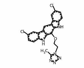 Cc1nnnn1CCOc1c2[nH]c3ccc(Cl)cc3c2cc2c1[nH]c1ccc(Cl)cc12